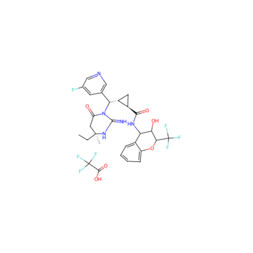 CC[C@@]1(C)CC(=O)N(C(c2cncc(F)c2)[C@@H]2C[C@H]2C(=O)NC2c3ccccc3OC(C(F)(F)F)C2O)C(=N)N1.O=C(O)C(F)(F)F